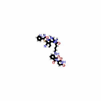 CCc1c(C#N)c(SC(C(N)=O)c2ccccc2)nc(N(C)CCN(C)C(=O)CCCCCNc2cccc3c2C(=O)N(C2CCC(=O)NC2=O)C3=O)c1C#N